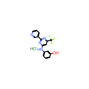 Cl.Oc1cccc(Nc2cc(C(F)(F)F)nc(-c3cccnc3)n2)c1